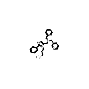 CCCCn1c(CN(Cc2ccccc2)Cc2cccnc2)cnc1-c1ccccc1